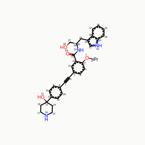 CC(C)Oc1ccc(C#Cc2ccc(C3(O)CCNCC3)cc2)cc1C(=O)N[C@@H](CO)Cc1c[nH]c2ccccc12